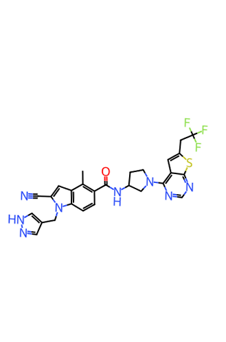 Cc1c(C(=O)NC2CCN(c3ncnc4sc(CC(F)(F)F)cc34)C2)ccc2c1cc(C#N)n2Cc1cn[nH]c1